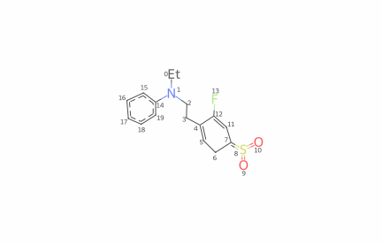 CCN(CCC1=CCC(=S(=O)=O)C=C1F)c1ccccc1